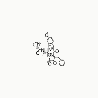 COc1ccc(C[C@H](NC(=O)[C@H](C)NC(=O)[C@@H]2CCCN2C)C(=O)N[C@@H](Cc2ccccc2)C(=O)[C@@]2(C)CO2)cc1